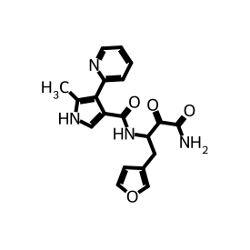 Cc1[nH]cc(C(=O)NC(Cc2ccoc2)C(=O)C(N)=O)c1-c1ccccn1